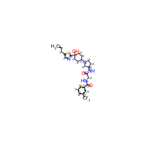 C=CCc1cnc(C2(O)CCC(N3CC[C@@H](NC(=O)CNC(=O)c4cccc(C(F)(F)F)c4)C3)CC2)s1